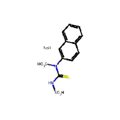 O=S(=O)(O)NC(=S)N(c1ccc2ccccc2c1)S(=O)(=O)O.[NaH]